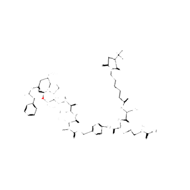 CC[C@H](C)C(CN(C)C(=O)[C@@H](NC(=O)[C@H](C(C)C)N(C)C(=O)OCc1ccc(NC(=O)[C@H](CCCNC(N)=O)NC(=O)C(NC(=O)CCCCCN2C(=O)CC(C(I)(CC)CC)C2=O)C(C)C)cc1)C(C)C)[C@@H](CC(=O)N1CCC[C@H]1[C@H](OC)[C@@H](C)C(=O)N[C@H](C)[C@@H](O)c1ccccc1)OC